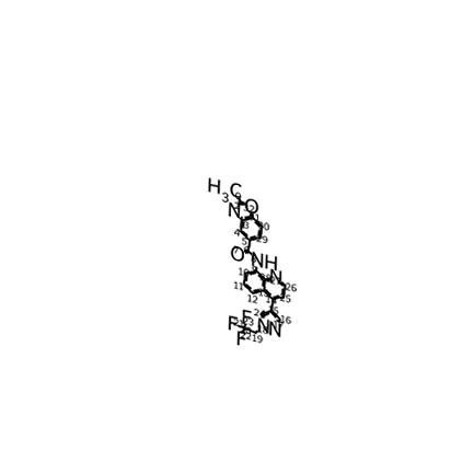 Cc1nc2cc(C(=O)Nc3cccc4c(-c5cnn(CC(F)(F)F)c5)ccnc34)ccc2o1